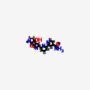 CN1CC[C@@](O)(c2cc(-c3cccc(-c4cc(C(N)=O)ccn4)n3)no2)C1=O